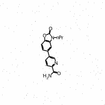 CCCn1c(=O)oc2ccc(-c3c[c]c(C(N)=O)nc3)cc21